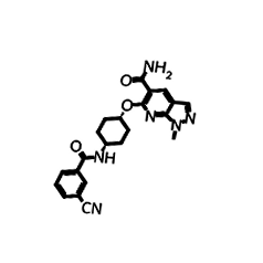 Cn1ncc2cc(C(N)=O)c(O[C@H]3CC[C@H](NC(=O)c4cccc(C#N)c4)CC3)nc21